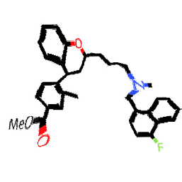 COC(=O)c1ccc(C2CC(CCCN(C)Cc3ccc(F)c4ccccc34)Oc3ccccc32)c(C)c1